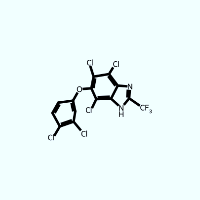 FC(F)(F)c1nc2c(Cl)c(Cl)c(Oc3ccc(Cl)c(Cl)c3)c(Cl)c2[nH]1